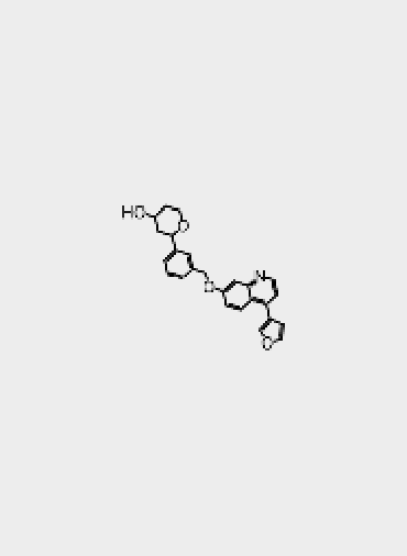 OC1CCOC(c2cccc(COc3ccc4c(-c5ccoc5)ccnc4c3)c2)C1